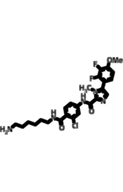 COc1ccc(-c2cnc(C(=O)Nc3ccc(C(=O)NCCCCCCN)c(Cl)c3)n2C)c(F)c1F